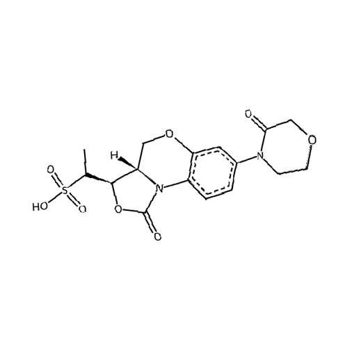 CC([C@@H]1OC(=O)N2c3ccc(N4CCOCC4=O)cc3OC[C@@H]12)S(=O)(=O)O